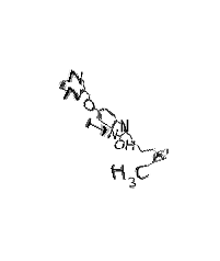 CC1C[C@H]1CCCCCC1=Nc2ccc(OCc3cnccn3)cc2NC1O